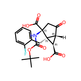 CC(C)(C)OC(=O)N[C@@]1(C(=O)O)CC(=O)[C@@H]2[C@@H](C(=O)O)[C@]21Cc1ccccc1F